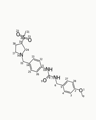 COc1ccc(CNC(=O)Nc2ccc(CN3CCC(S(C)(=O)=O)C3)cc2)cc1